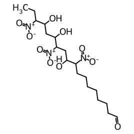 CCC(C(O)CC(O)C(CC(O)C(CCCCCCCC=O)[N+](=O)[O-])[N+](=O)[O-])[N+](=O)[O-]